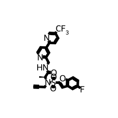 C#CCN([C@@H](C)C(=O)NCc1cc(-c2ccc(C(F)(F)F)cn2)ccn1)S(=O)(=O)c1cc2cc(F)ccc2o1